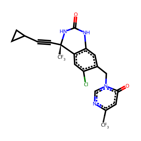 O=C1Nc2cc(Cn3cnc(C(F)(F)F)cc3=O)c(Cl)cc2[C@@](C#CC2CC2)(C(F)(F)F)N1